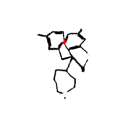 O=C(O)N1CCCC(C2(Cc3cccc(Cl)c3)C(=O)Nc3cc(Cl)ccc32)CC1